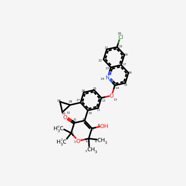 CC1(C)OC(C)(C)C(O)=C(c2cc(Oc3ccc4cc(Cl)ccc4n3)ccc2C2CC2)C1=O